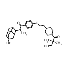 CN(C(=O)c1ccc(OCCC2CCN(C(=O)C(C)(C)CO)CC2)cc1)C1C2CC3CC1CC(O)(C3)C2